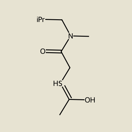 CC(O)=[SH]CC(=O)N(C)CC(C)C